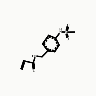 C=CC(=O)NCc1ccc(NS(C)(=O)=O)cc1